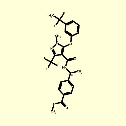 COC(=O)c1ccc([C@H](C)NC(=O)c2c(C(F)(F)F)nn(C)c2Oc2cccc(C(C)(F)F)c2)cc1